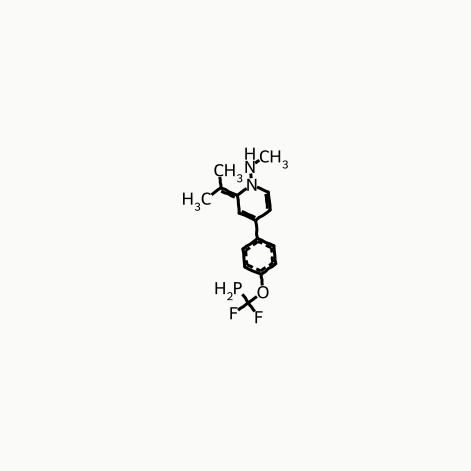 CNN1C=CC(c2ccc(OC(F)(F)P)cc2)=CC1=C(C)C